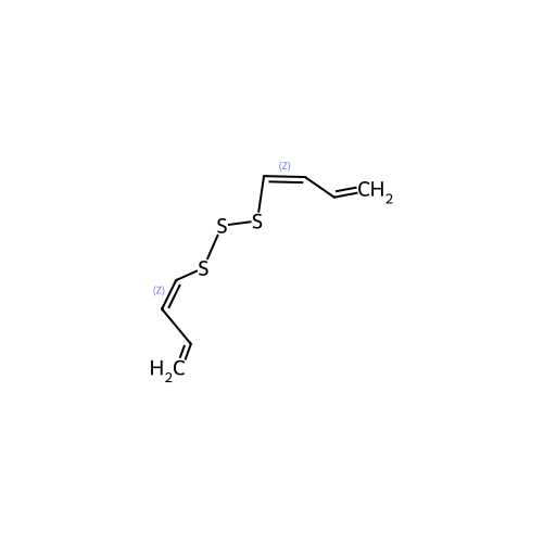 C=C/C=C\SSS/C=C\C=C